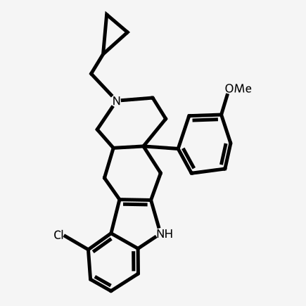 COc1cccc(C23CCN(CC4CC4)CC2Cc2c([nH]c4cccc(Cl)c24)C3)c1